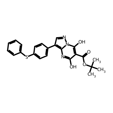 CC(C)(C)OC(=O)c1c(O)nc2c(-c3ccc(Sc4ccccc4)cc3)cnn2c1O